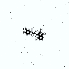 COc1cccc2c(=O)[nH]cc([C@@H](C)N(C)C(=O)Nc3ccc(F)c(Cl)c3)c12